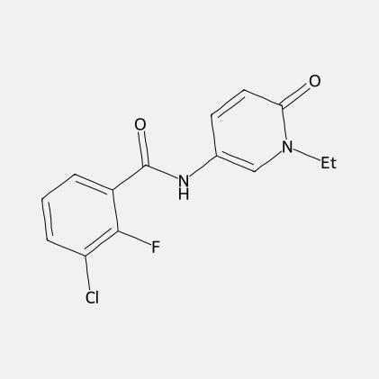 CCn1cc(NC(=O)c2cccc(Cl)c2F)ccc1=O